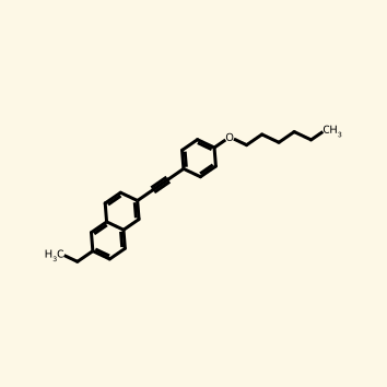 CCCCCCOc1ccc(C#Cc2ccc3cc(CC)ccc3c2)cc1